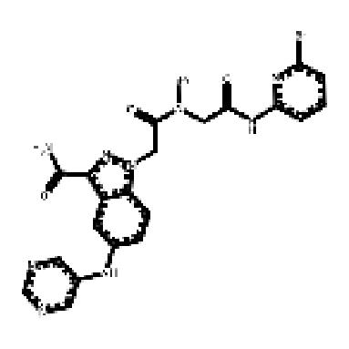 CC(C)N(CC(=O)Nc1cccc(Br)n1)C(=O)Cn1nc(C(N)=O)c2cc(Nc3cncnc3)ccc21